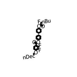 CCCCCCCCCCCOc1ccc(C(=O)Oc2ccc([C@H]3CC[C@H](OC(=O)[C@@H](F)CCCC)CC3)cc2)c(F)c1F